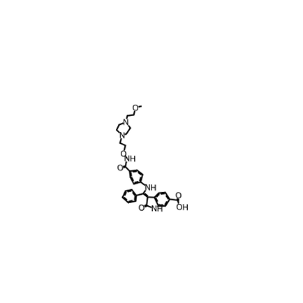 COCCN1CCN(CCONC(=O)c2ccc(NC(=C3C(=O)Nc4cc(C(=O)O)ccc43)c3ccccc3)cc2)CC1